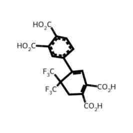 O=C(O)C1=C(C(=O)O)CC(C(F)(F)F)(C(F)(F)F)C(c2ccc(C(=O)O)c(C(=O)O)c2)=C1